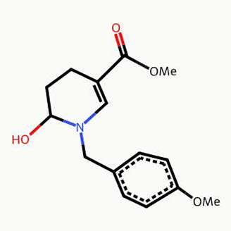 COC(=O)C1=CN(Cc2ccc(OC)cc2)C(O)CC1